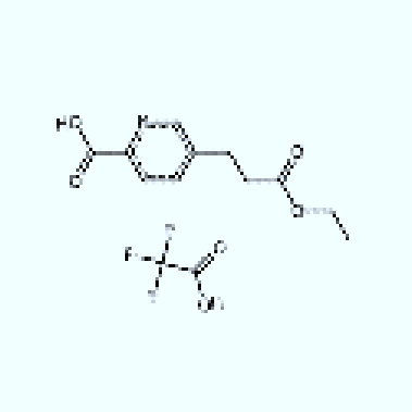 CCOC(=O)CCc1ccc(C(=O)O)nc1.O=C(O)C(F)(F)F